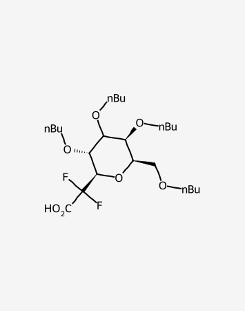 CCCCOC[C@H]1O[C@@H](C(F)(F)C(=O)O)[C@H](OCCCC)C(OCCCC)[C@H]1OCCCC